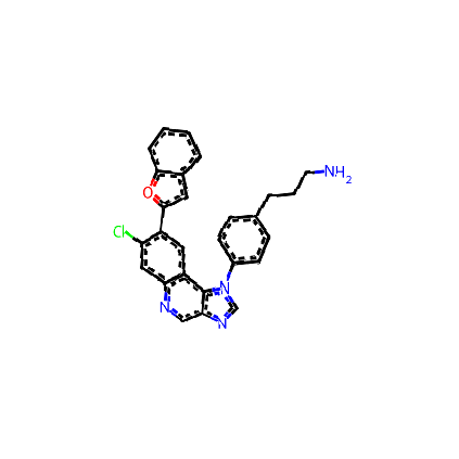 NCCCc1ccc(-n2cnc3cnc4cc(Cl)c(-c5cc6ccccc6o5)cc4c32)cc1